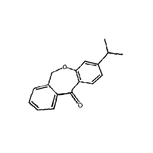 CC(C)c1ccc2c(c1)OCc1ccccc1C2=O